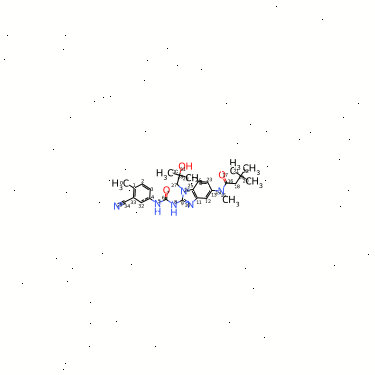 Cc1ccc(NC(=O)Nc2nc3cc(N(C)C(=O)CC(C)(C)C)ccc3n2CC(C)(C)O)cc1C#N